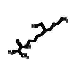 CCOCC(CO)CCCCNC(=O)C(C)C